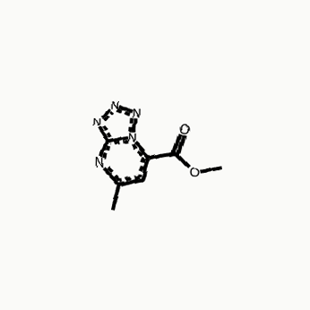 COC(=O)c1cc(C)nc2nnnn12